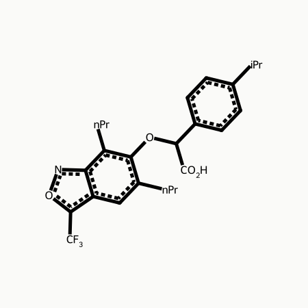 CCCc1cc2c(C(F)(F)F)onc2c(CCC)c1OC(C(=O)O)c1ccc(C(C)C)cc1